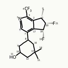 C[C@H]1c2c(C(F)(F)F)ncc(C3CC(O)CC(C)(C)C3)c2[C@@H](F)[C@H]1F